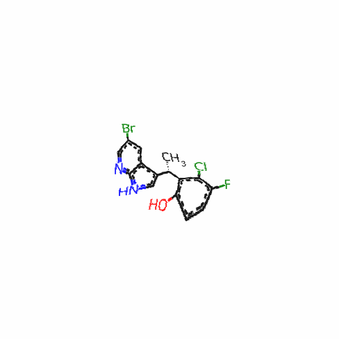 C[C@H](c1c(O)ccc(F)c1Cl)c1c[nH]c2ncc(Br)cc12